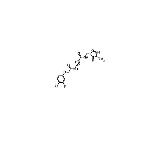 CC1NOC(CNC(=O)C23CC(NC(=O)COc4ccc(Cl)c(F)c4)(C2)C3)N1